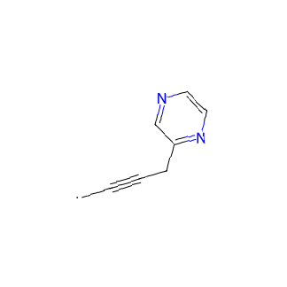 [CH2]C#CCc1cnccn1